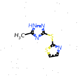 Cc1nc(Sc2nccs2)n[nH]1